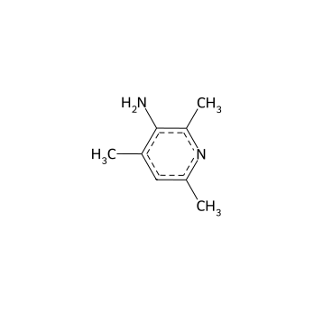 Cc1cc(C)c(N)c(C)n1